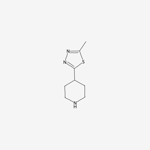 Cc1nnc(C2CCNCC2)s1